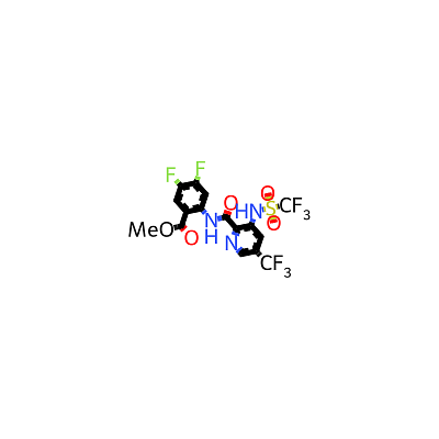 COC(=O)c1cc(F)c(F)cc1NC(=O)c1ncc(C(F)(F)F)cc1NS(=O)(=O)C(F)(F)F